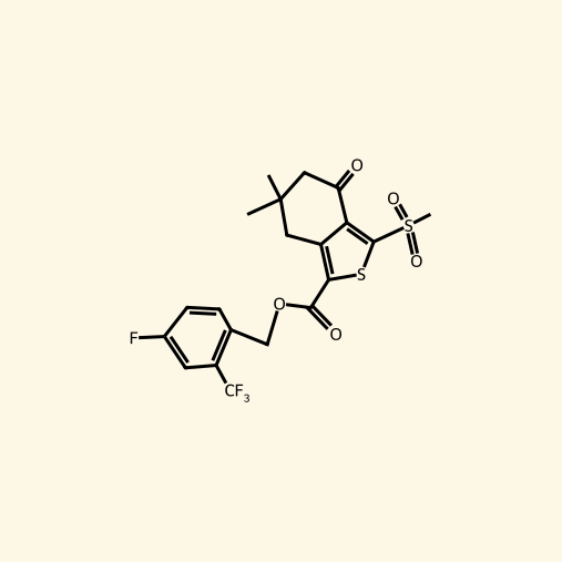 CC1(C)CC(=O)c2c(S(C)(=O)=O)sc(C(=O)OCc3ccc(F)cc3C(F)(F)F)c2C1